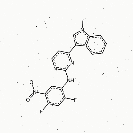 Cn1cc(-c2ccnc(Nc3cc([N+](=O)[O-])c(F)cc3F)n2)c2ccccc21